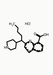 CCCCC(c1ccc2cccc(C(=O)O)c2n1)C1CCNCC1.Cl